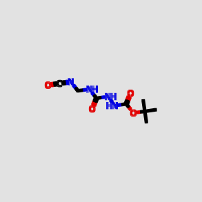 CC(C)(C)OC(=O)NNC(=O)NCN=C=O